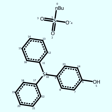 CCCCS(=O)(=O)[O-].Oc1ccc([S+](c2ccccc2)c2ccccc2)cc1